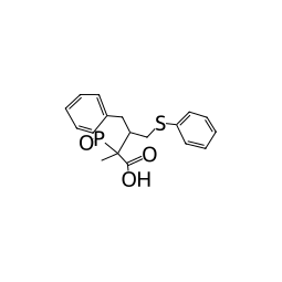 CC(P=O)(C(=O)O)C(CSc1ccccc1)Cc1ccccc1